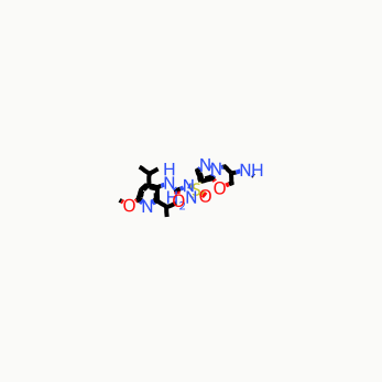 CNC1COc2c(S(N)(=O)=NC(=O)Nc3c(C(C)C)cc(OC)nc3C(C)C)cnn2C1